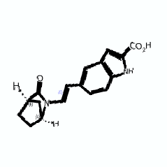 O=C(O)c1cc2cc(/C=C/N3C(=O)[C@@H]4CC[C@H]3C4)ccc2[nH]1